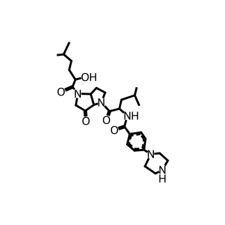 CC(C)CCC(O)C(=O)N1CC(=O)C2C1CCN2C(=O)C(CC(C)C)NC(=O)c1ccc(N2CCNCC2)cc1